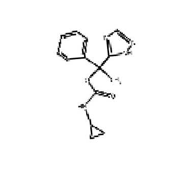 CC(OC(=O)NC1CC1)(c1ccccc1)c1ncn[nH]1